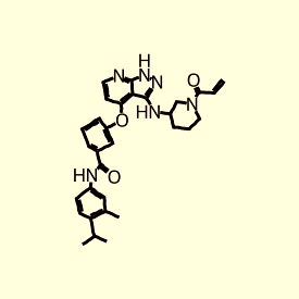 C=CC(=O)N1CCCC(Nc2n[nH]c3nccc(Oc4cccc(C(=O)Nc5ccc(C(C)C)c(C)c5)c4)c23)C1